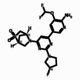 Nc1ncc(-c2cc(N3C[C@@H]4C[C@H]3CS4(=O)=O)nc(N3CC[C@@H](F)C3)n2)cc1OC(F)F